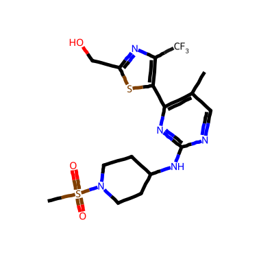 Cc1cnc(NC2CCN(S(C)(=O)=O)CC2)nc1-c1sc(CO)nc1C(F)(F)F